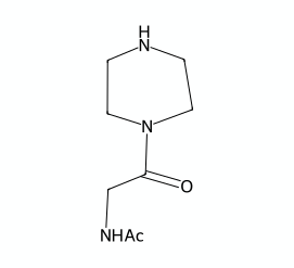 CC(=O)NCC(=O)N1CCNCC1